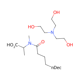 CCCCCCCCCCCCCC(=O)N(C)C(C)C(=O)O.OCCN(CCO)CCO